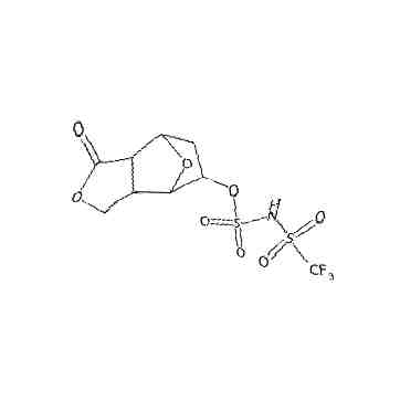 O=C1OCC2C3OC(CC3OS(=O)(=O)NS(=O)(=O)C(F)(F)F)C12